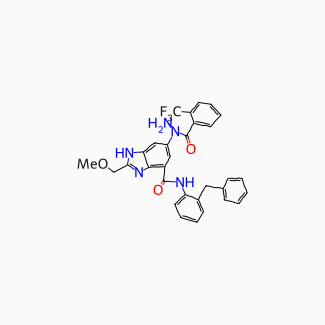 COCc1nc2c(C(=O)Nc3ccccc3Cc3ccccc3)cc(N(N)C(=O)c3ccccc3C(F)(F)F)cc2[nH]1